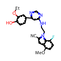 CCOc1cc(-c2cc(NCCn3c(C#N)cc4c(OC)ccc(F)c43)ncn2)ccc1O